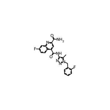 Cc1c(NC(=O)c2cc(C(N)=O)nc3cc(F)ccc23)nnn1Cc1ccccc1F